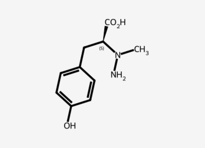 CN(N)[C@@H](Cc1ccc(O)cc1)C(=O)O